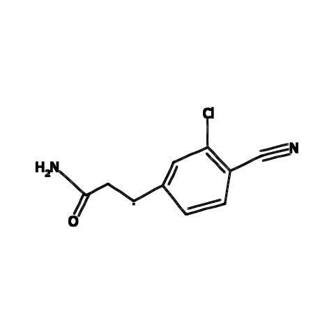 N#Cc1ccc([CH]CC(N)=O)cc1Cl